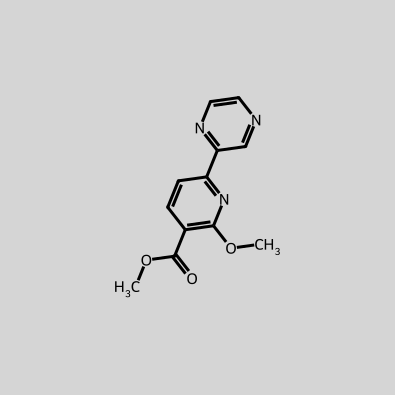 COC(=O)c1ccc(-c2cnccn2)nc1OC